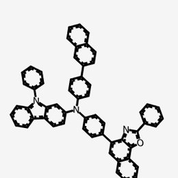 c1ccc(-c2nc3c(-c4ccc(N(c5ccc(-c6ccc7ccccc7c6)cc5)c5ccc6c7ccccc7n(-c7ccccc7)c6c5)cc4)cc4ccccc4c3o2)cc1